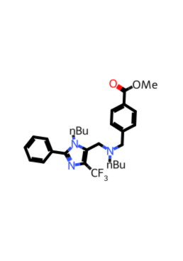 CCCCN(Cc1ccc(C(=O)OC)cc1)Cc1c(C(F)(F)F)nc(-c2ccccc2)n1CCCC